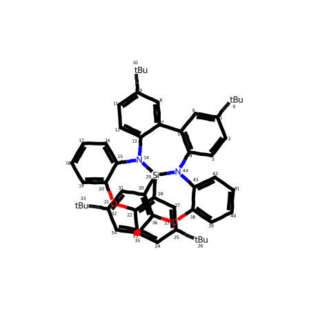 CC(C)(C)c1ccc2c(c1)-c1cc(C(C)(C)C)ccc1N1c3ccccc3Oc3ccc(C(C)(C)C)cc3[Si]13c1cc(C(C)(C)C)ccc1Oc1ccccc1N23